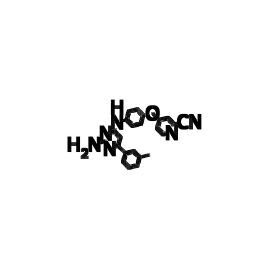 Cc1cccc(-c2cc(Nc3ccc(Oc4ccnc(C#N)c4)cc3)nc(N)n2)c1